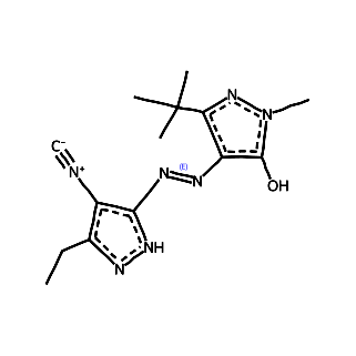 [C-]#[N+]c1c(CC)n[nH]c1/N=N/c1c(C(C)(C)C)nn(C)c1O